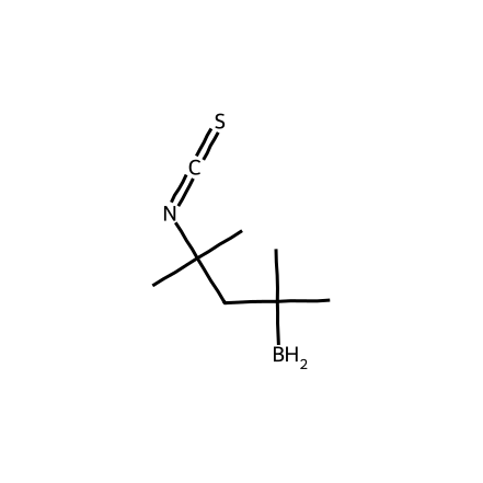 BC(C)(C)CC(C)(C)N=C=S